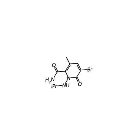 Cc1cc(Br)c(=O)n(NC(C)C)c1C(N)=O